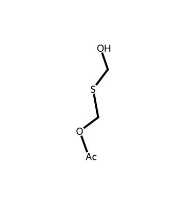 CC(=O)OCSCO